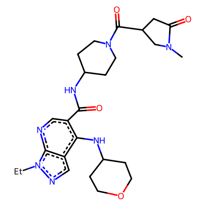 CCn1ncc2c(NC3CCOCC3)c(C(=O)NC3CCN(C(=O)C4CC(=O)N(C)C4)CC3)cnc21